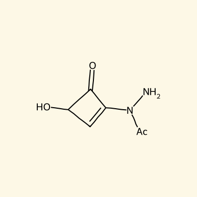 CC(=O)N(N)C1=CC(O)C1=O